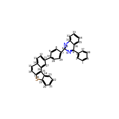 c1ccc(-c2nc(-c3ccc(-c4ccc5ccc6sc7ccccc7c6c5c4)cc3)nc3ccccc23)cc1